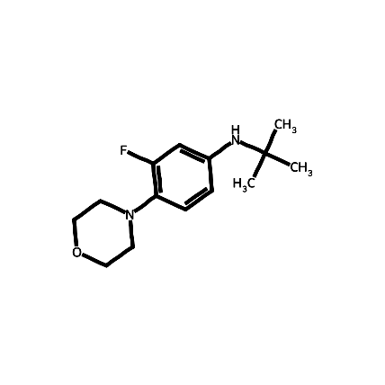 CC(C)(C)Nc1ccc(N2CCOCC2)c(F)c1